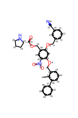 Cc1c(COc2cc(OCc3cccc(C#N)c3)c(COC(=O)[C@@H]3CCCN3)cc2[N+](=O)[O-])cccc1-c1ccccc1